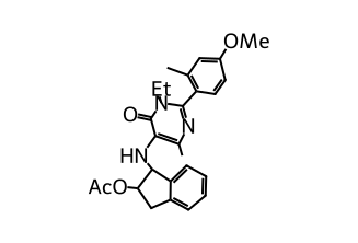 CCn1c(-c2ccc(OC)cc2C)nc(C)c(NC2c3ccccc3CC2OC(C)=O)c1=O